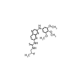 COc1cc(Nc2cnc3ccc(NC(=S)NCC(C)F)nc3n2)cc(OC)c1OC